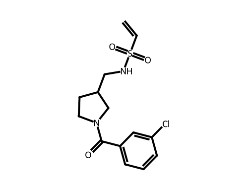 C=CS(=O)(=O)NCC1CCN(C(=O)c2cccc(Cl)c2)C1